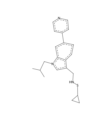 CC(C)Cn1cc(CNSC2CC2)c2ccc(-c3ccncc3)cc21